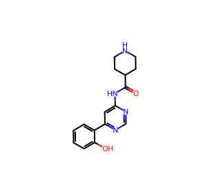 O=C(Nc1cc(-c2ccccc2O)ncn1)C1CCNCC1